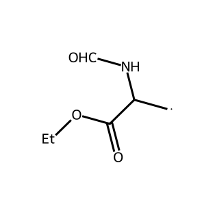 [CH2]C(NC=O)C(=O)OCC